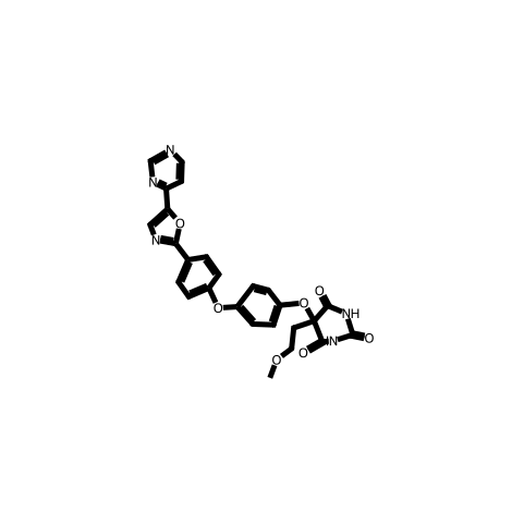 COCCC1(Oc2ccc(Oc3ccc(-c4ncc(-c5ccncn5)o4)cc3)cc2)C(=O)NC(=O)NC1=O